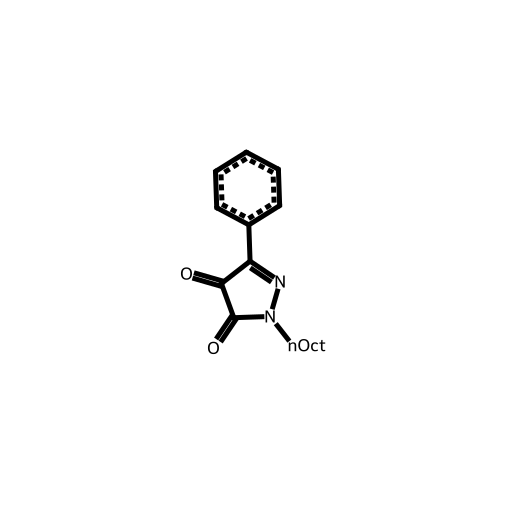 CCCCCCCCN1N=C(c2ccccc2)C(=O)C1=O